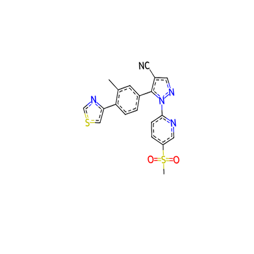 Cc1cc(-c2c(C#N)cnn2-c2ccc(S(C)(=O)=O)cn2)ccc1-c1cscn1